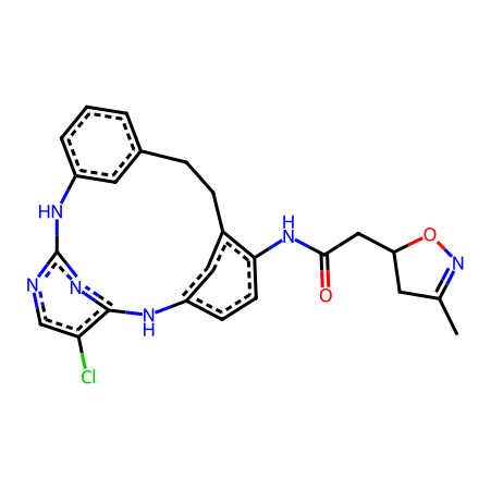 CC1=NOC(CC(=O)Nc2ccc3cc2CCc2cccc(c2)Nc2ncc(Cl)c(n2)N3)C1